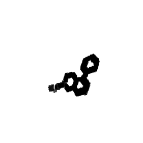 CN1CCc2c(cccc2-c2ccccc2)C1